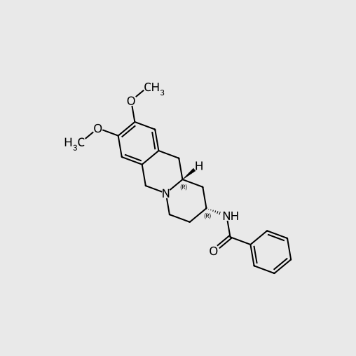 COc1cc2c(cc1OC)CN1CC[C@@H](NC(=O)c3ccccc3)C[C@H]1C2